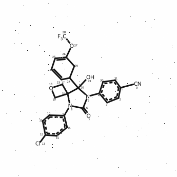 N#Cc1ccc(N2C(=O)N(c3ccc(Cl)cc3)C3(COC3)C2(O)C2C=CC=C(OC(F)(F)F)C2)cc1